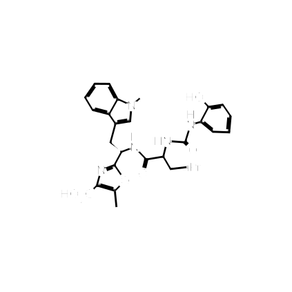 Cc1oc([C@@H](Cc2cn(C)c3ccccc23)NC(=O)C(CC(C)C)NC(=O)Nc2ccccc2O)nc1C(=O)O